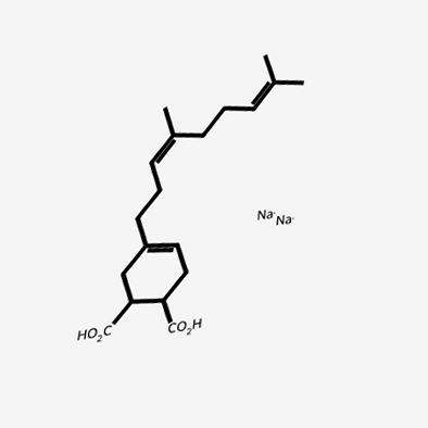 CC(C)=CCCC(C)=CCCC1=CCC(C(=O)O)C(C(=O)O)C1.[Na].[Na]